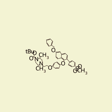 CC1CN(C(=O)OC(C)(C)C)[C@@H](C)CN1CCOc1ccc(Oc2c(-c3ccc(S(C)(=O)=O)cc3)ccc3cc(OCc4ccccc4)ccc23)cc1